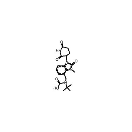 Cn1c(=O)n(C2CCC(=O)NC2=O)c2cccc(CN(C(=O)O)C(C)(C)C)c21